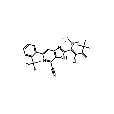 C=C(/C(Cl)=C(/c1nc2cc(-c3ccccc3C(F)(F)F)nc(C#N)c2[nH]1)N(C)N)C(C)(C)C